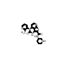 Cc1ncccc1N1C(=O)Nc2c(C(=O)N[C@@H]3CCCNC3)sc3nccc1c23